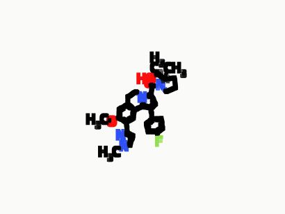 COc1cc2c(cc1-c1ccn(C)n1)-c1c(-c3ccc(F)cc3)cc(C(=O)N3CCC[C@]3(C)[C@H](C)O)n1CC2